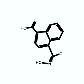 O=C(O)c1ccc(/C(Cl)=N\O)c2ccccc12